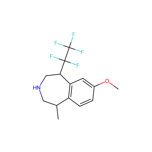 COc1ccc2c(c1)C(C(F)(F)C(F)(F)F)CNCC2C